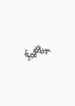 C=CC(=O)Nc1ccnc(-c2nccc3cnc(Nc4ccc(NC5CCNC5)cc4)nc23)c1